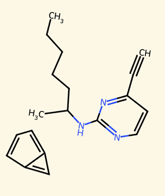 C#Cc1ccnc(NC(C)CCCCC)n1.c1cc2cc-2c1